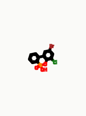 O=P1(O)Oc2c(Cl)cc(Br)cc2-c2ccccc21